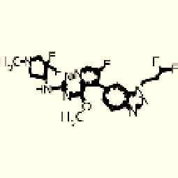 COc1nc(N[C@@H]2CN(C)CC2(F)F)nn2cc(F)c(-c3ccc4nnn(CCC(F)F)c4c3)c12